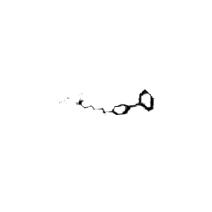 O=C(O)CCCCC(=O)c1ccc(-c2ccccc2)cc1